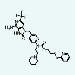 Nc1nc(C(F)(F)F)cc2c1[nH]c(=O)n2Cc1ccc(N(CCN2CCCCC2)C(=O)OCCSSc2ccccn2)nc1